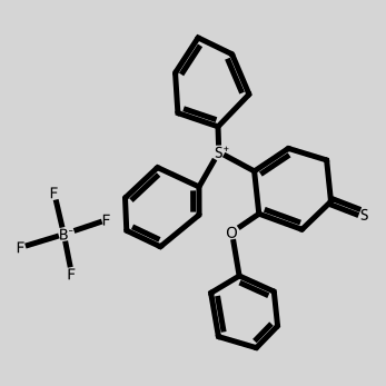 F[B-](F)(F)F.S=C1C=C(Oc2ccccc2)C([S+](c2ccccc2)c2ccccc2)=CC1